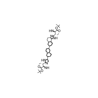 CC[C@@H](C(=N)C(=O)OC(C)(C)C)c1ncc(-c2ccc3cc(-c4ccc5c(c4)CCc4nc([C@@H](CC)C(=N)C(=O)OC(C)(C)C)[nH]c4-5)ccc3c2)[nH]1